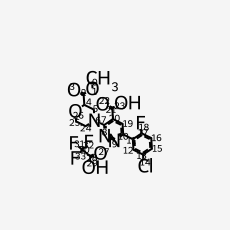 COC(=O)C1CN(c2nnc(-c3cc(Cl)ccc3F)cc2C(=O)O)CCO1.O=C(O)C(F)(F)F